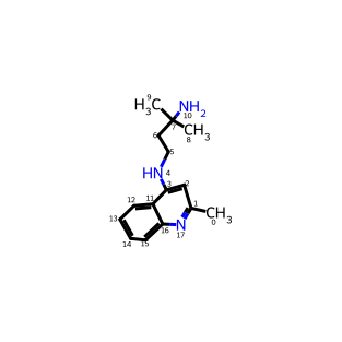 Cc1cc(NCCC(C)(C)N)c2ccccc2n1